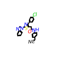 N#CCc1ccc(NC(=O)Cc2sc(-n3cnc4ccccc43)nc2-c2ccc(Cl)cc2)cc1